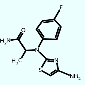 CC(C(N)=O)N(c1ccc(F)cc1)c1nc(N)cs1